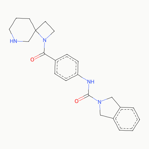 O=C(Nc1ccc(C(=O)N2CCC23CCCNC3)cc1)N1Cc2ccccc2C1